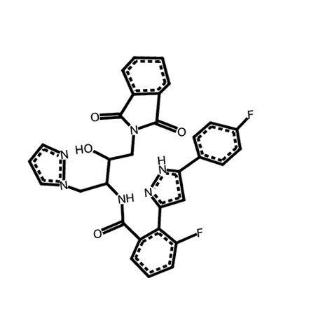 O=C(NC(Cn1cccn1)C(O)CN1C(=O)c2ccccc2C1=O)c1cccc(F)c1-c1cc(-c2ccc(F)cc2)[nH]n1